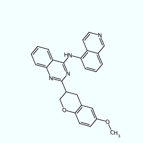 COc1ccc2c(c1)CC(c1nc(Nc3cccc4cnccc34)c3ccccc3n1)CO2